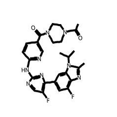 CC(=O)N1CCN(C(=O)c2ccc(Nc3ncc(F)c(-c4cc(F)c5nc(C)n(C(C)C)c5c4)n3)nc2)CC1